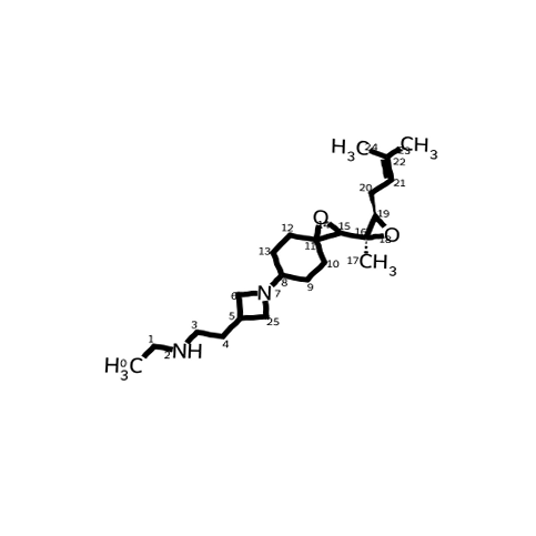 CCNCCC1CN(C2CCC3(CC2)OC3[C@]2(C)O[C@@H]2CC=C(C)C)C1